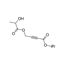 CC(C)OC(=O)C#CCOC(=O)C(C)O